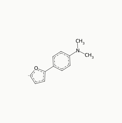 CN(C)c1ccc(-c2cc[c]o2)cc1